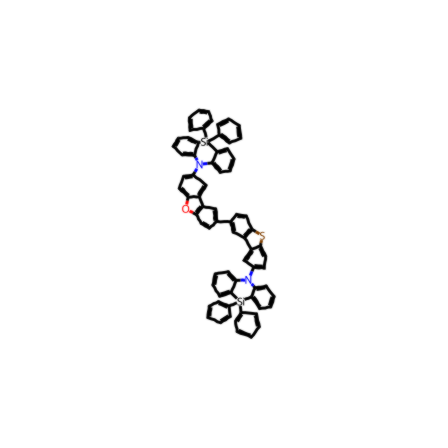 c1ccc([Si]2(c3ccccc3)c3ccccc3N(c3ccc4oc5ccc(-c6ccc7sc8ccc(N9c%10ccccc%10[Si](c%10ccccc%10)(c%10ccccc%10)c%10ccccc%109)cc8c7c6)cc5c4c3)c3ccccc32)cc1